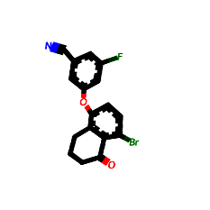 N#Cc1cc(F)cc(Oc2ccc(Br)c3c2CCCC3=O)c1